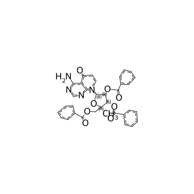 C[C@]1(COC(=O)c2ccccc2)O[C@@H](n2ccc(=O)c3c(N)ncnc32)[C@H](OC(=O)c2ccccc2)[C@@H]1OC(=O)c1ccccc1